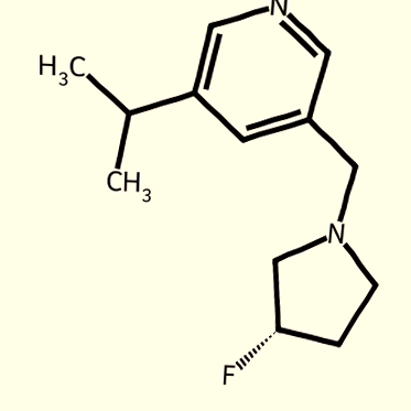 CC(C)c1cncc(CN2CC[C@H](F)C2)c1